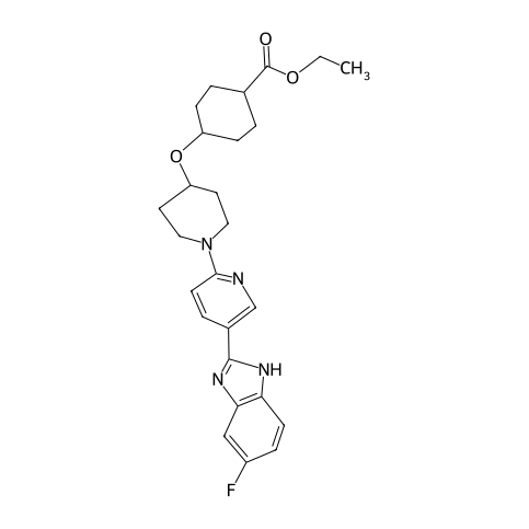 CCOC(=O)C1CCC(OC2CCN(c3ccc(-c4nc5cc(F)ccc5[nH]4)cn3)CC2)CC1